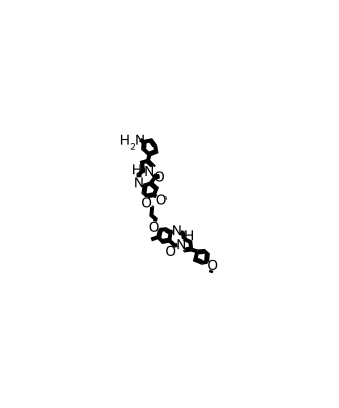 COc1ccc(C2=CN3C(=O)c4cc(C)c(OCCCOc5cc6c(cc5OC)C(=O)N5C=C(c7cccc(N)c7)C[C@H]5C=N6)cc4N=C[C@@H]3C2)cc1